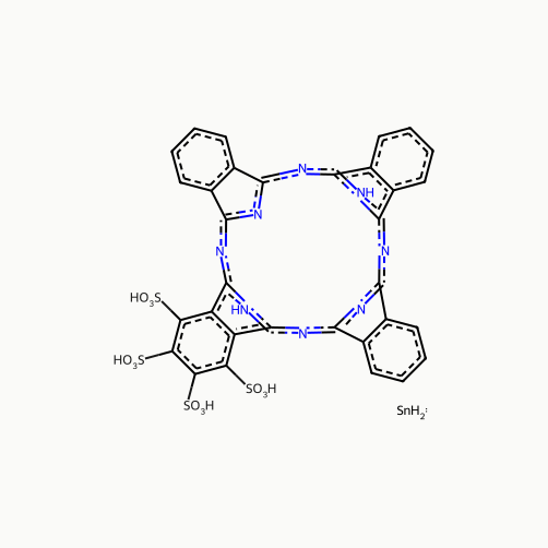 O=S(=O)(O)c1c(S(=O)(=O)O)c(S(=O)(=O)O)c2c3nc4nc(nc5[nH]c(nc6nc(nc([nH]3)c2c1S(=O)(=O)O)-c1ccccc1-6)c1ccccc51)-c1ccccc1-4.[SnH2]